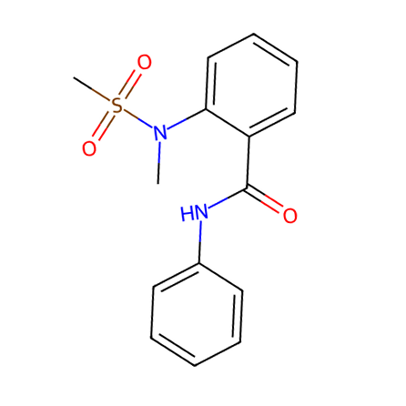 CN(c1ccccc1C(=O)Nc1ccccc1)S(C)(=O)=O